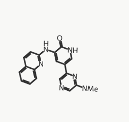 CNc1cncc(-c2c[nH]c(=O)c(Nc3ccc4ccccc4n3)c2)n1